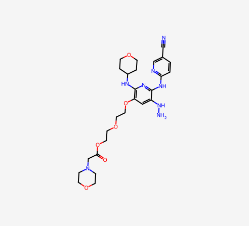 N#Cc1ccc(Nc2nc(NC3CCOCC3)c(OCCOCCOC(=O)CN3CCOCC3)cc2NN)nc1